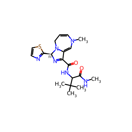 CNC(=O)C(NC(=O)C1=N[C@@H](c2nccs2)N2CC=CN(C)C=C12)C(C)(C)C